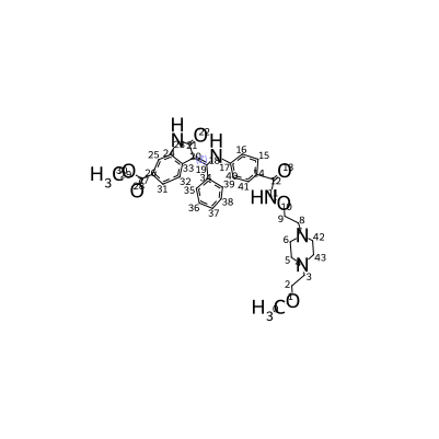 COCCN1CCN(CCONC(=O)c2ccc(N/C(=C3\C(=O)Nc4cc(C(=O)OC)ccc43)c3ccccc3)cc2)CC1